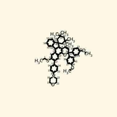 CCSc1cc2c3c(c4c(c2cc1-c1ccc(N2CCOCC2)cc1)OC(c1ccc(OC)cc1)(c1ccc(OC)cc1)C=C4)C1(CC(C)(C)CC(C)(C)C1)c1ccccc1-3